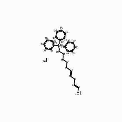 CCC=CCC=CCCCCC[P+](c1ccccc1)(c1ccccc1)c1ccccc1.[I-]